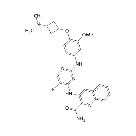 COc1cc(Nc2ncc(F)c(Nc3cc4ccccc4nc3C(N)=O)n2)ccc1OC1CC(N(C)C)C1